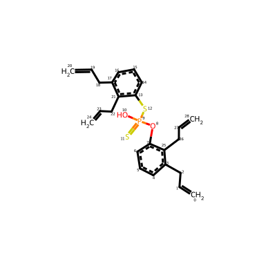 C=CCc1cccc(OP(O)(=S)Sc2cccc(CC=C)c2CC=C)c1CC=C